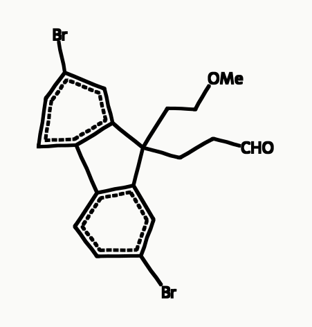 COCCC1(CCC=O)c2cc(Br)ccc2-c2ccc(Br)cc21